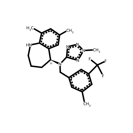 Cc1cc(CN(c2nnn(C)n2)[C@H]2CCCNc3c(C)cc(C)cc32)cc(C(F)(F)F)c1